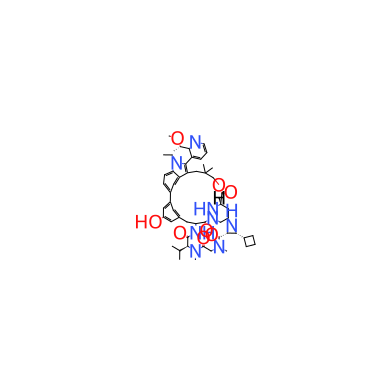 CCn1c(-c2cccnc2[C@H](C)OC)c2c3cc(ccc31)-c1cc(O)cc(c1)C[C@H](NC(=O)[C@H](C(C)C)N(C)C(=O)CN(C)C(=O)[C@@H]1N[C@@H]1C1CCC1)C(=O)N1CCC[C@H](N1)C(=O)OCC(C)(C)C2